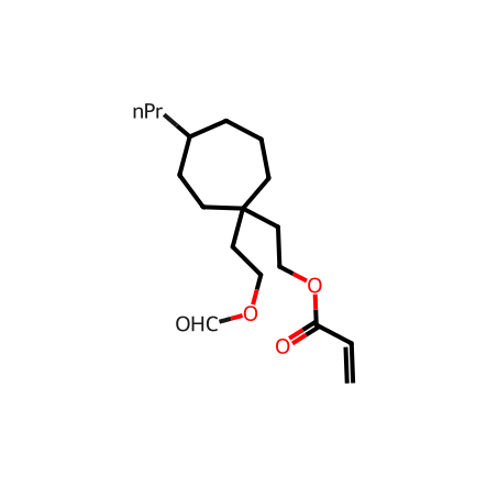 C=CC(=O)OCCC1(CCOC=O)CCCC(CCC)CC1